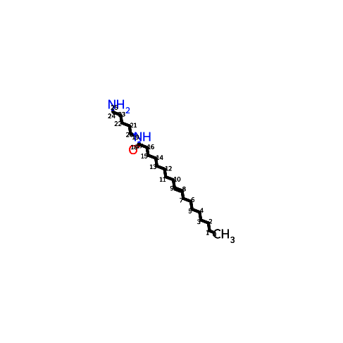 CCCCCCCCC=CCCCCCCCC(=O)NCCCCCN